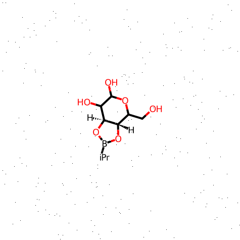 CC(C)B1O[C@H]2C(CO)OC(O)C(O)[C@@H]2O1